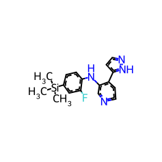 C[Si](C)(C)c1ccc(Nc2cnccc2-c2ccn[nH]2)c(F)c1